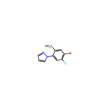 O=C(O)c1cc(Br)c(F)cc1-n1cccn1